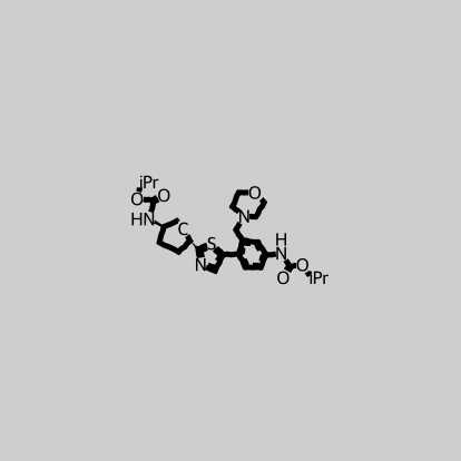 CC(C)OC(=O)Nc1ccc(-c2cnc([C@H]3CC[C@H](NC(=O)OC(C)C)CC3)s2)c(CN2CCOCC2)c1